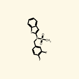 CS(=O)(=O)N(Cc1ccc(F)c(F)c1)c1cc2ccccc2s1